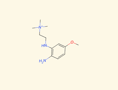 COc1ccc(N)c(NCC[N+](C)(C)C)c1